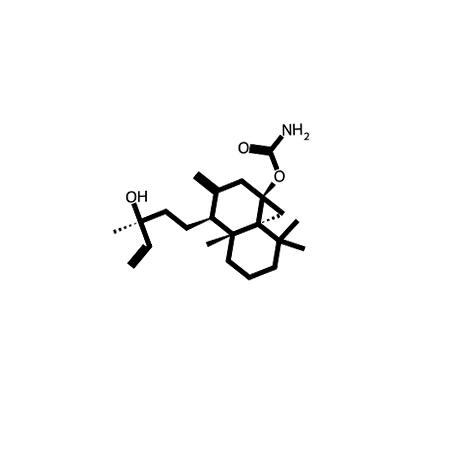 C=C[C@@](C)(O)CC[C@H]1C(=C)C[C@]2(OC(N)=O)C[C@@]23C(C)(C)CCC[C@]13C